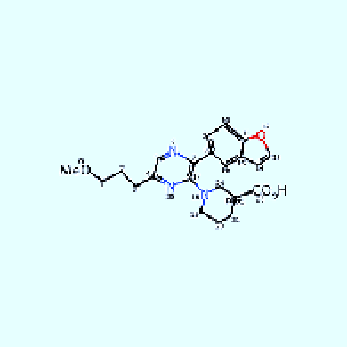 COCCCc1cnc(-c2ccc3occc3c2)c(N2CCC[C@H](C(=O)O)C2)n1